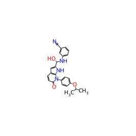 CC(C)Oc1ccc(-n2c(=O)ccc3cc(C(O)Nc4cccc(C#N)c4)[nH]c32)cc1